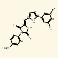 O=C(O)c1ccc(N2C(=O)C(=Cc3ccc(-c4cc(F)cc(F)c4)o3)SC2=S)cc1